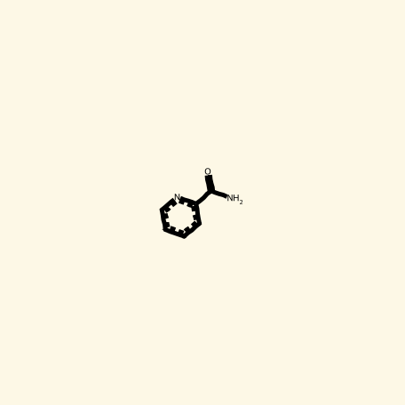 NC(=O)c1cc[c]cn1